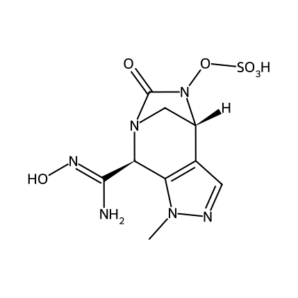 Cn1ncc2c1[C@@H](/C(N)=N/O)N1C[C@@H]2N(OS(=O)(=O)O)C1=O